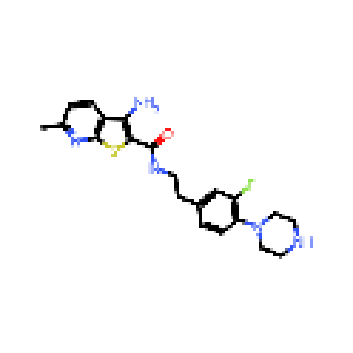 Cc1ccc2c(N)c(C(=O)NCCc3ccc(N4CCNCC4)c(F)c3)sc2n1